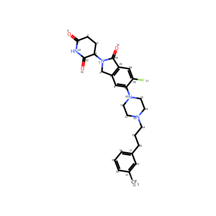 O=C1CCC(N2Cc3cc(N4CCN(CCCc5cccc(C(F)(F)F)c5)CC4)c(F)cc3C2=O)C(=O)N1